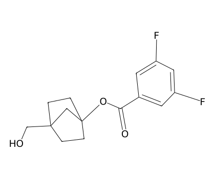 O=C(OC12CCC(CO)(CC1)C2)c1cc(F)cc(F)c1